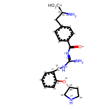 N/C(=N\C(=O)c1ccc(C[C@H](N)C(=O)O)cc1)NCc1ccccc1O[C@@H]1CCNC1